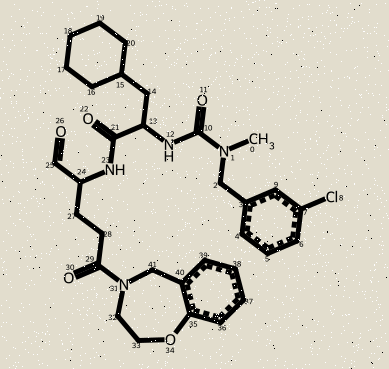 CN(Cc1cccc(Cl)c1)C(=O)NC(CC1CCCCC1)C(=O)NC(C=O)CCC(=O)N1CCOc2ccccc2C1